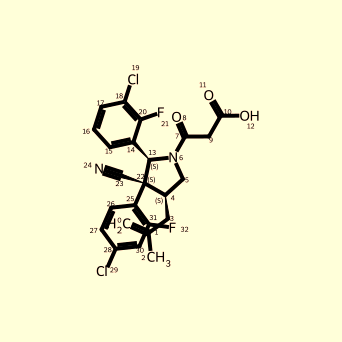 C=C(C)C[C@@H]1CN(C(=O)CC(=O)O)[C@H](c2cccc(Cl)c2F)[C@@]1(C#N)c1ccc(Cl)cc1F